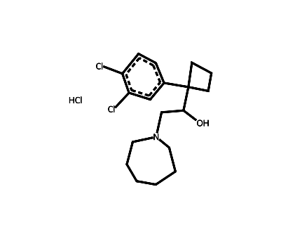 Cl.OC(CN1CCCCCC1)C1(c2ccc(Cl)c(Cl)c2)CCC1